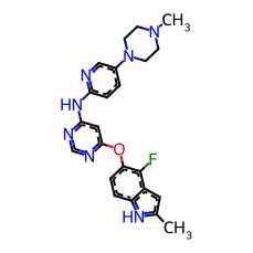 Cc1cc2c(F)c(Oc3cc(Nc4ccc(N5CCN(C)CC5)cn4)ncn3)ccc2[nH]1